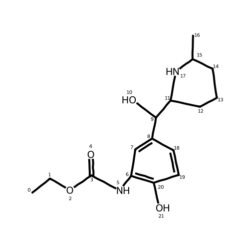 CCOC(=O)Nc1cc(C(O)C2CCCC(C)N2)ccc1O